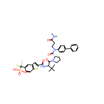 CN(C)C(=O)CCN(C(=O)[C@@H]1CCCN1C(=O)C(NC(=O)c1cc2cc(C(F)(F)P(=O)(O)O)ccc2s1)C(C)(C)C)c1ccc(-c2ccccc2)cc1